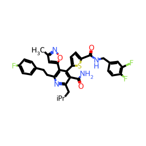 Cc1cc(-c2c(CCc3ccc(F)cc3)nc(CC(C)C)c(C(N)=O)c2-c2ccc(C(=O)NCc3ccc(F)c(F)c3)s2)on1